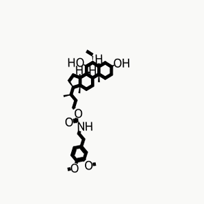 CC[C@H]1[C@@H](O)[C@@H]2C(CC[C@]3(C)[C@@H]([C@H](C)CCOC(=O)NCCc4ccc(OC)c(OC)c4)CC[C@@H]23)[C@@]2(C)CC[C@@H](O)C[C@@H]12